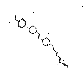 CCc1ccc([C@H]2CC[C@H](C=C[C@H]3CC[C@H](CCC=CC=C(F)C#N)CC3)CC2)cc1